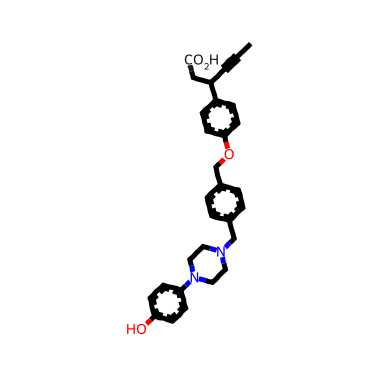 CC#CC(CC(=O)O)c1ccc(OCc2ccc(CN3CCN(c4ccc(O)cc4)CC3)cc2)cc1